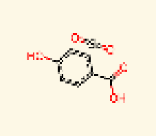 O=C(O)c1ccc(O)cc1.O=[Si]=O